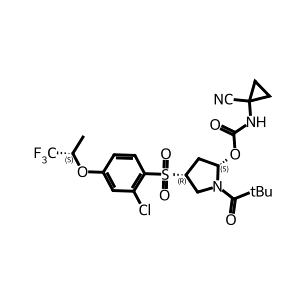 C[C@H](Oc1ccc(S(=O)(=O)[C@@H]2C[C@H](OC(=O)NC3(C#N)CC3)N(C(=O)C(C)(C)C)C2)c(Cl)c1)C(F)(F)F